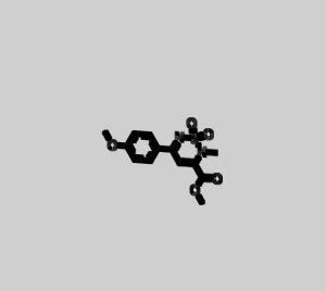 COC(=O)C1=CC(c2ccc(OC)cc2)=NS(=O)(=O)N1C